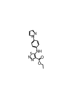 CCOC(=O)c1nnsc1Nc1ccc(-n2cccn2)cc1